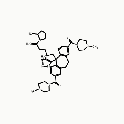 C=C(CN[C@@H](C)CC1(c2nnn[nH]2)c2ccc(C(=O)N3CCN(C)CC3)cc2CCc2cc(C(=O)N3CCN(C)CC3)ccc21)N1CCCC1C#N